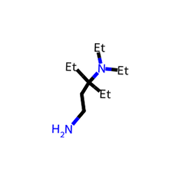 CCN(CC)C(CC)(CC)CCN